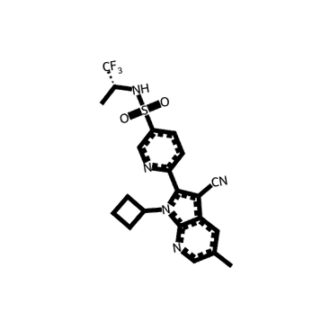 Cc1cnc2c(c1)c(C#N)c(-c1ccc(S(=O)(=O)N[C@H](C)C(F)(F)F)cn1)n2C1CCC1